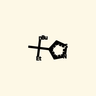 CCCCC(C)(CC)c1cnsc1